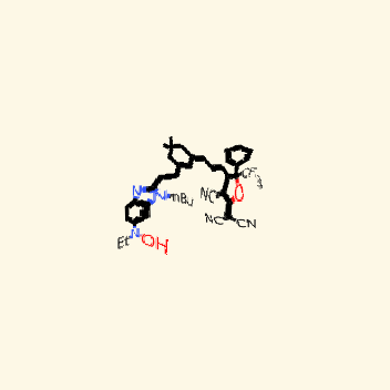 CCCCn1c(C=CC2=CC(=CC=CC3=C(C#N)C(=C(C#N)C#N)OC3(c3ccccc3)C(F)(F)F)CC(C)(C)C2)nc2ccc(N(O)CC)cc21